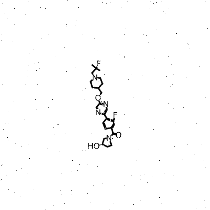 CC(C)(F)CN1CCC(COc2cnc(-c3ccc(C(=O)N4CC[C@H](O)C4)cc3F)cn2)CC1